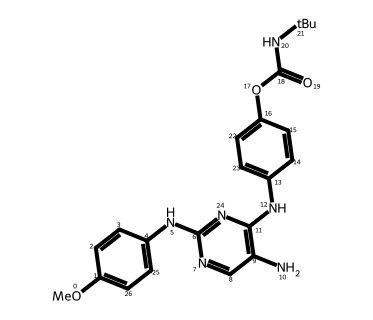 COc1ccc(Nc2ncc(N)c(Nc3ccc(OC(=O)NC(C)(C)C)cc3)n2)cc1